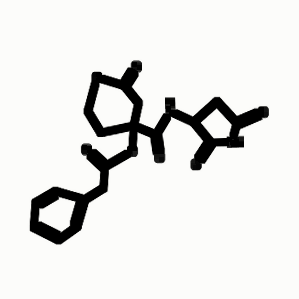 O=C1CC(NC(=O)C2(OC(=O)Cc3ccccc3)CCOC(=O)C2)C(=O)N1